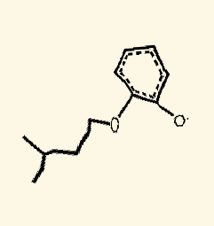 CC(C)CCOc1ccccc1[O]